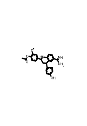 COc1cc(C2CC(c3ccc(O)cc3)c3cc(C(=N)N)ccc3N2)ccc1OC(C)=O